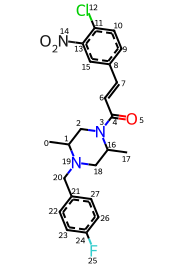 CC1CN(C(=O)/C=C/c2ccc(Cl)c([N+](=O)[O-])c2)C(C)CN1Cc1ccc(F)cc1